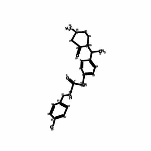 CC(c1ccc(NC(=O)NCc2ccc(Cl)cc2)cc1)N1CCN(C)CC1=O